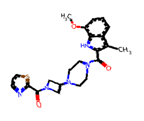 COc1cccc2c(C)c(C(=O)N3CCN(C4CN(C(=O)c5nccs5)C4)CC3)[nH]c12